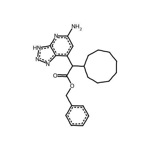 Nc1cc(C(C(=O)OCc2ccccc2)C2CCCCCCCC2)c2nn[nH]c2n1